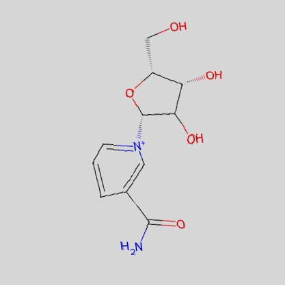 NC(=O)c1ccc[n+]([C@@H]2O[C@H](CO)[C@H](O)C2O)c1